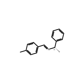 Cc1ccc(C=N[C@@H](C)c2ccccc2)cc1